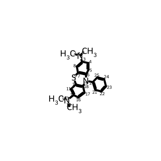 CN(C)c1ccc2c(c1)Sc1cc(N(C)C)ccc1N2c1ccccc1